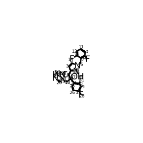 C[C@@H](c1ccn(Cc2c(F)cccc2F)n1)[C@](O)(Cn1cnnn1)c1ccc(F)cc1F